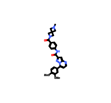 COc1ccc(-c2ccnc3cc(C(=O)Nc4ccc(C(=O)N5CC6(CN(C)C6)C5)cc4)nn23)cc1OC